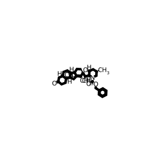 CC1=C2C[C@H]3[C@@H](CC[C@@H]4CC(=O)CC[C@@]43C)[C@@H]2CC[C@]12O[C@@H]1C[C@H](C)CN(C(=O)OCc3ccccc3)[C@H]1[C@H]2C